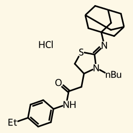 CCCCN1C(=NC23CC4CC(CC(C4)C2)C3)SCC1CC(=O)Nc1ccc(CC)cc1.Cl